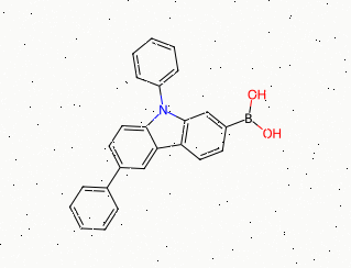 OB(O)c1ccc2c3cc(-c4ccccc4)ccc3n(-c3ccccc3)c2c1